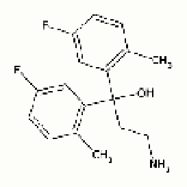 Cc1ccc(F)cc1C(O)(CCN)c1cc(F)ccc1C